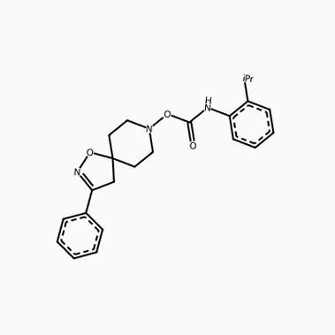 CC(C)c1ccccc1NC(=O)ON1CCC2(CC1)CC(c1ccccc1)=NO2